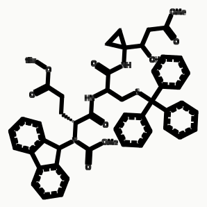 COC(=O)CC(O)C1(NC(=O)C(CSC(c2ccccc2)(c2ccccc2)c2ccccc2)NC(=O)[C@@H](CCC(=O)OC(C)(C)C)N(C(=O)OC)C2c3ccccc3-c3ccccc32)CC1